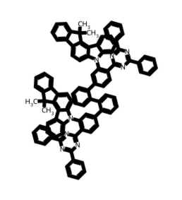 CC1(C)c2ccccc2-c2ccc3c(c21)c1ccccc1n3-c1cc(-c2ccccc2-c2ccccc2-c2ccc(-c3nc(-c4ccccc4)nc(-c4ccccc4)n3)c(-n3c4ccccc4c4c5c(ccc43)-c3ccccc3C5(C)C)c2)ccc1-c1nc(-c2ccccc2)nc(-c2ccccc2)n1